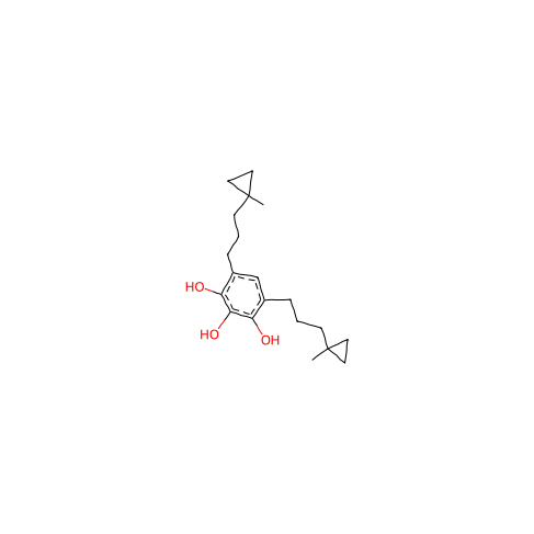 CC1(CCCc2cc(CCCC3(C)CC3)c(O)c(O)c2O)CC1